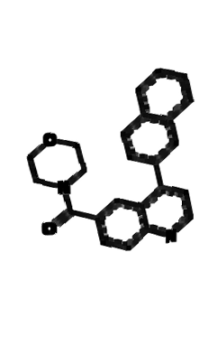 O=C(c1ccc2nccc(-c3ccc4ccccc4c3)c2c1)N1CCOCC1